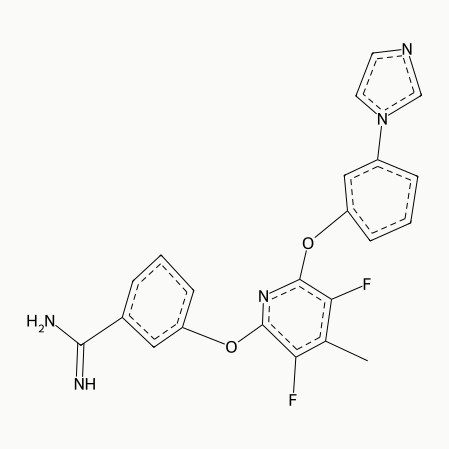 Cc1c(F)c(Oc2cccc(C(=N)N)c2)nc(Oc2cccc(-n3ccnc3)c2)c1F